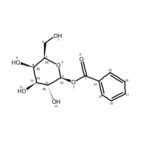 O=C(O[C@@H]1O[C@H](CO)[C@H](O)[C@H](O)[C@H]1O)c1ccccc1